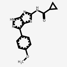 COc1ccc(-c2n[nH]c3nc(NC(=O)C4CC4)sc23)cc1